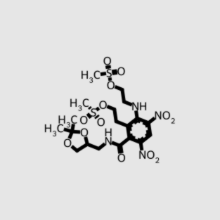 CC1(C)OCC(CNC(=O)c2c([N+](=O)[O-])cc([N+](=O)[O-])c(NCCOS(C)(=O)=O)c2CCOS(C)(=O)=O)O1